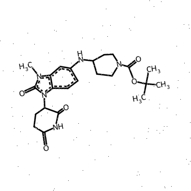 Cn1c(=O)n(C2CCC(=O)NC2=O)c2ccc(NC3CCN(C(=O)OC(C)(C)C)CC3)cc21